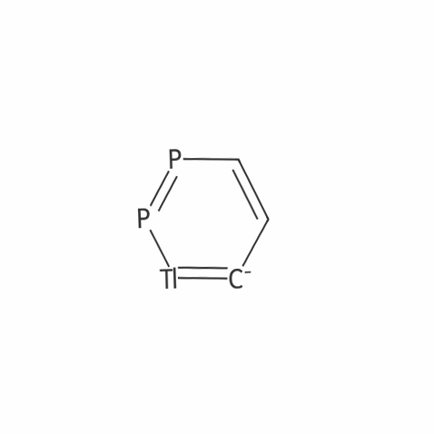 [C-]1=[Tl][P]=PC=C1